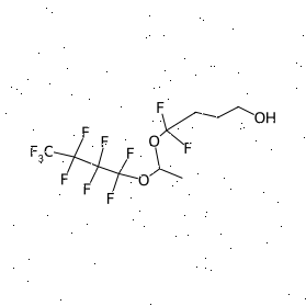 CC(OC(F)(F)CCCO)OC(F)(F)C(F)(F)C(F)(F)C(F)(F)F